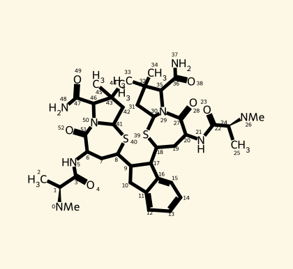 CN[C@@H](C)C(=O)NC1CC(C2Cc3ccccc3C2C2CC(NC(=O)[C@H](C)NC)C(=O)N3C(CC(C)(C)C3C(N)=O)S2)SC2CC(C)(C)C(C(N)=O)N2C1=O